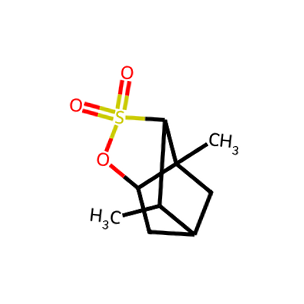 CC1C2CC3OS(=O)(=O)C1C3(C)C2